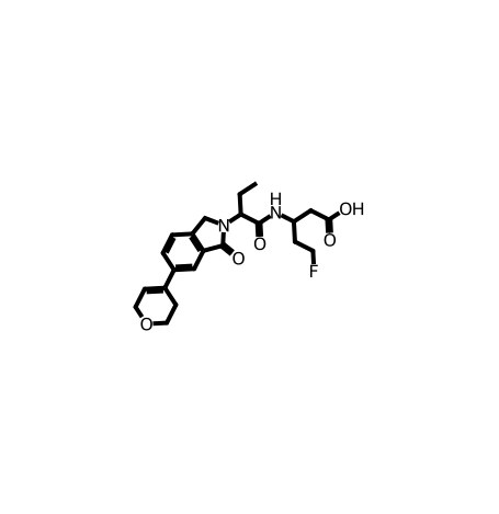 CCC(C(=O)NC(CCF)CC(=O)O)N1Cc2ccc(C3=CCOCC3)cc2C1=O